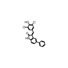 O=C1Nc2ccc(-c3ccccc3)cc2/C1=C/c1cc(Cl)c(O)c(Cl)c1